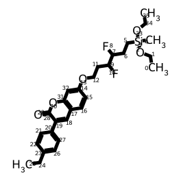 CCO[Si](C)(CCC(F)C(F)CCOc1ccc2cc(-c3ccc(CC)cc3)c(=O)oc2c1)OCC